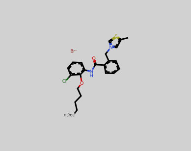 CCCCCCCCCCCCCCOc1c(Cl)cccc1NC(=O)c1ccccc1C[n+]1csc(C)c1.[Br-]